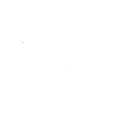 CC1C2CCC3C4CC=C5CC(OC(=O)NCCF)CCC5(C)C4CCC32CN1C